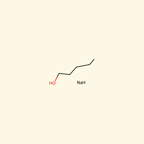 CCCCCO.[NaH]